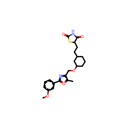 COc1cccc(-c2nc(COC3CCCC(CCC4SC(=O)NC4=O)C3)c(C)o2)c1